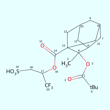 CC(C)(C)C(=O)OC1(C)C2CC3CC(C2)CC1(C(=O)OC(CS(=O)(=O)O)C(F)(F)F)C3